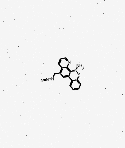 [N-]=[N+]=NCc1cc2c(c3ncccc13)N(N)Sc1ccccc1-2